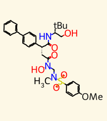 COc1ccc(S(=O)(=O)N(C)CN(O)C(=O)C[C@@H](C(=O)N[C@H](CO)C(C)(C)C)c2ccc(-c3ccccc3)cc2)cc1